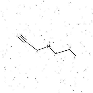 C#CC[N]CCC